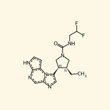 CC[C@@H]1CN(C(=O)NCC(F)F)C[C@@H]1c1cnc2cnc3[nH]ccc3n12